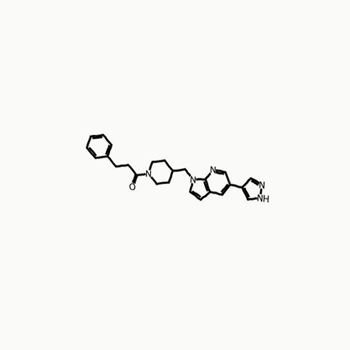 O=C(CCc1ccccc1)N1CCC(Cn2ccc3cc(-c4cn[nH]c4)cnc32)CC1